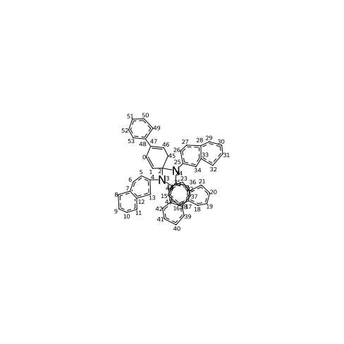 C1=CC(N(c2ccc3ccccc3c2)c2ccc3ccccc3c2)(N(c2ccc3ccccc3c2)c2ccc3ccccc3c2)CC=C1c1ccccc1